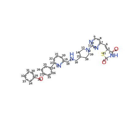 O=C1NC(=O)C(=Cc2ccnc(N3CCC(CNCc4cccc(-c5ccc(Oc6ccccc6)cc5)n4)CC3)n2)S1